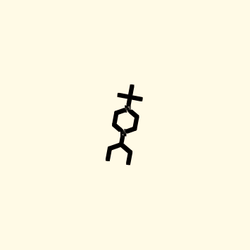 CCC(CC)N1CCN(C(C)(C)C)CC1